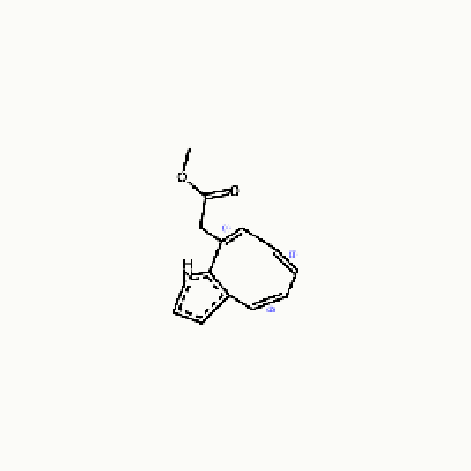 COC(=O)C/C1=C/C=C\C=C/c2cc[nH]c21